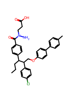 CCCC(c1ccc(C(=O)N(N)CCC(=O)O)cc1)C(COc1ccc(-c2ccc(C)cc2)cc1)c1ccc(Cl)cc1